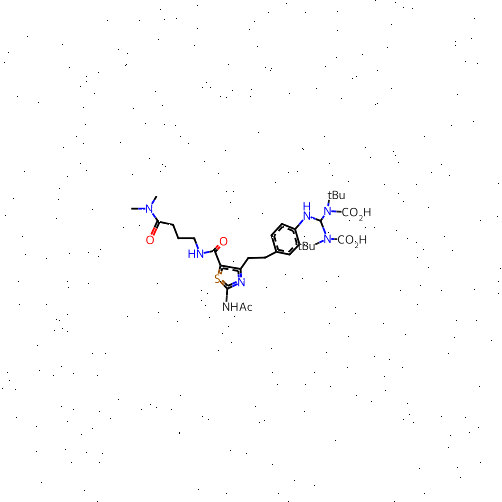 CC(=O)Nc1nc(CCc2ccc(NC(N(C(=O)O)C(C)(C)C)N(C(=O)O)C(C)(C)C)cc2)c(C(=O)NCCCC(=O)N(C)C)s1